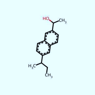 CCC(C)c1ccc2cc(C(C)O)ccc2c1